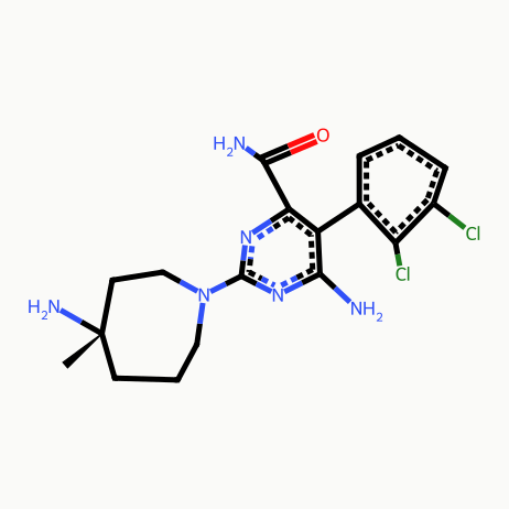 C[C@]1(N)CCCN(c2nc(N)c(-c3cccc(Cl)c3Cl)c(C(N)=O)n2)CC1